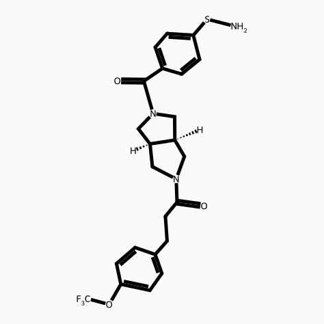 NSc1ccc(C(=O)N2C[C@H]3CN(C(=O)CCc4ccc(OC(F)(F)F)cc4)C[C@H]3C2)cc1